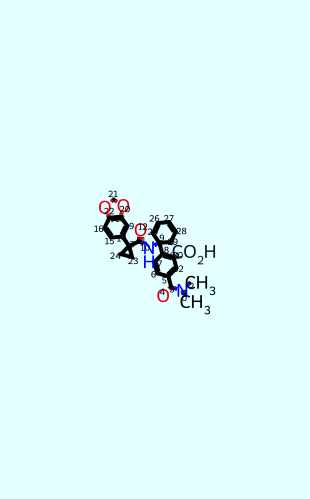 CN(C)C(=O)c1ccc(C2(NC(=O)C3(c4ccc5c(c4)OCO5)CC3)C=CC=CC2C(=O)O)cc1